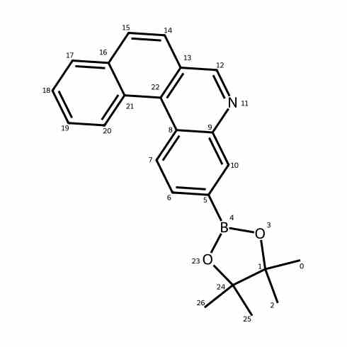 CC1(C)OB(c2ccc3c(c2)ncc2ccc4ccccc4c23)OC1(C)C